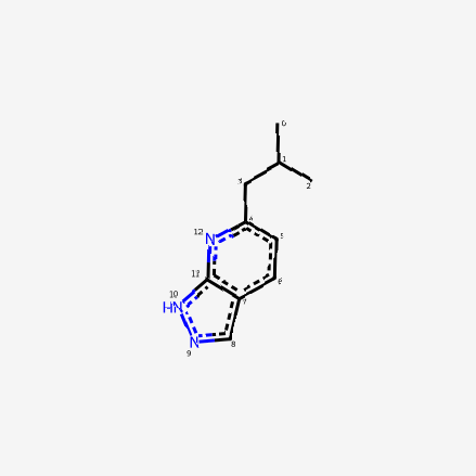 CC(C)Cc1ccc2cn[nH]c2n1